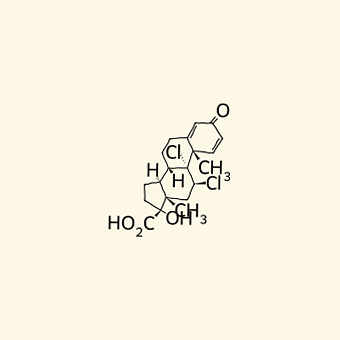 C[C@]12C=CC(=O)C=C1CC[C@H]1[C@@H]3CC[C@](O)(C(=O)O)[C@@]3(C)C[C@H](Cl)[C@@]12Cl